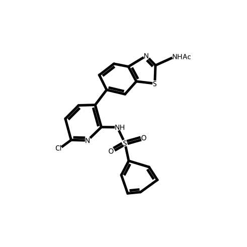 CC(=O)Nc1nc2ccc(-c3ccc(Cl)nc3NS(=O)(=O)c3ccccc3)cc2s1